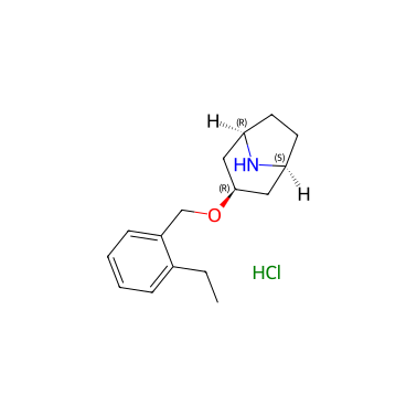 CCc1ccccc1CO[C@H]1C[C@H]2CC[C@@H](C1)N2.Cl